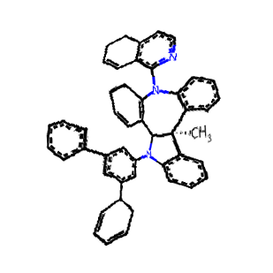 C[C@@]12c3ccccc3N(c3nccc4c3C=CCC4)C3=C(C=CCC3)C1N(c1cc(-c3ccccc3)cc(C3C=CC=CC3)c1)c1ccccc12